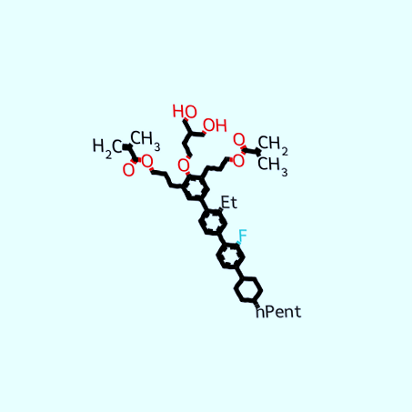 C=C(C)C(=O)OCCCc1cc(-c2ccc(-c3ccc(C4CCC(CCCCC)CC4)cc3F)cc2CC)cc(CCCOC(=O)C(=C)C)c1OCCC(CO)CO